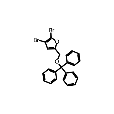 Brc1cc(COC(c2ccccc2)(c2ccccc2)c2ccccc2)oc1Br